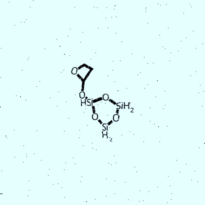 C1CC(O[SiH]2O[SiH2]O[SiH2]O2)O1